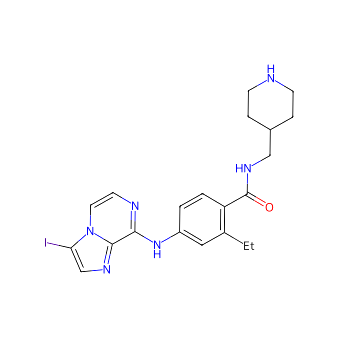 CCc1cc(Nc2nccn3c(I)cnc23)ccc1C(=O)NCC1CCNCC1